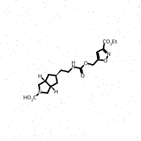 CCOC(=O)c1cc(COC(=O)NCC[C@H]2C[C@@H]3CN(C(=O)O)C[C@@H]3C2)on1